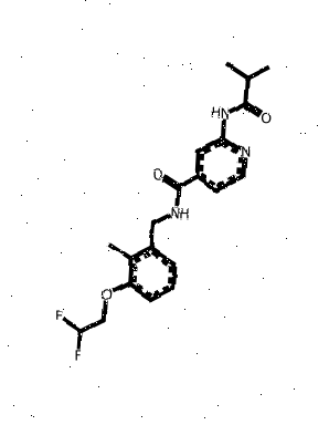 Cc1c(CNC(=O)c2ccnc(NC(=O)C(C)C)c2)cccc1OCC(F)F